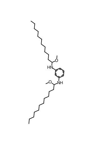 CCCCCCCCCCCC(Nc1cccc(NC(CCCCCCCCCCC)OC)c1)OC